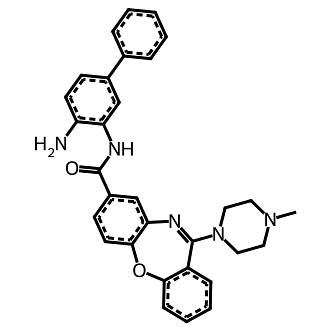 CN1CCN(C2=Nc3cc(C(=O)Nc4cc(-c5ccccc5)ccc4N)ccc3Oc3ccccc32)CC1